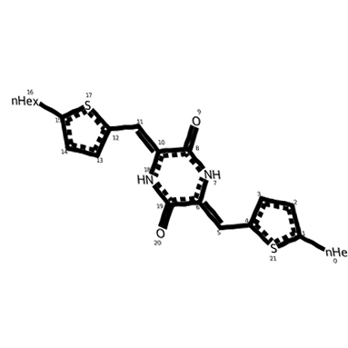 CCCCCCc1ccc(/C=c2\[nH]c(=O)/c(=C/c3ccc(CCCCCC)s3)[nH]c2=O)s1